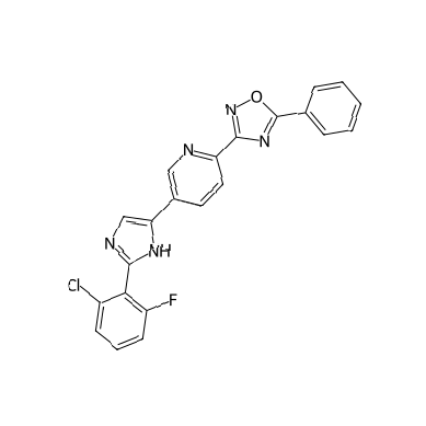 Fc1cccc(Cl)c1-c1ncc(-c2ccc(-c3noc(-c4ccccc4)n3)nc2)[nH]1